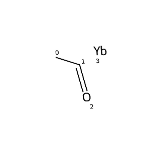 CC=O.[Yb]